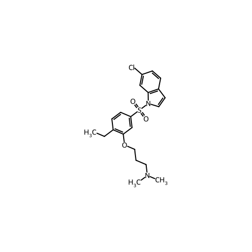 CCc1ccc(S(=O)(=O)n2ccc3ccc(Cl)cc32)cc1OCCCN(C)C